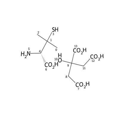 CC(C)(S)[C@@H](N)C(=O)O.O=C(O)CC(O)(CC(=O)O)C(=O)O